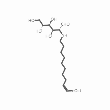 CCCCCCCC/C=C\CCCCCCCCN[C@@H](C=O)[C@@H](O)[C@H](O)[C@H](O)CO